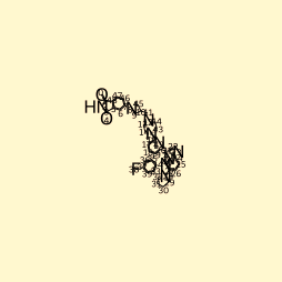 O=C1NC(=O)c2cc(N3CC(CN4CCN(c5cccc(-c6cnc7ccc(N8CCC[C@@H]8c8cccc(F)c8)nn67)n5)CC4)C3)ccc21